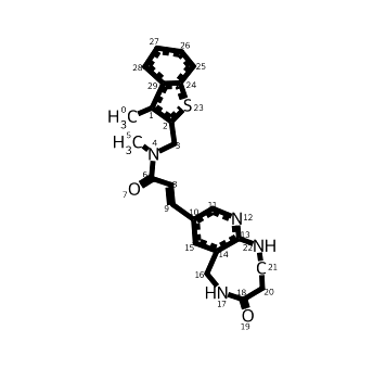 Cc1c(CN(C)C(=O)C=Cc2cnc3c(c2)CNC(=O)CCN3)sc2ccccc12